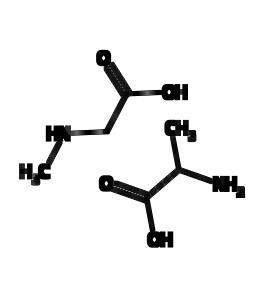 CC(N)C(=O)O.CNCC(=O)O